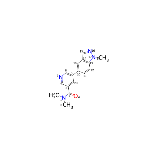 CN(C)C(=O)c1cncc(-c2ccc3c(cnn3C)c2)c1